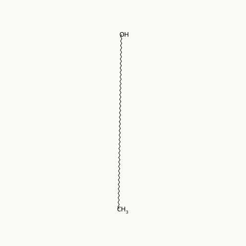 CCCCCCCCCCCCCCCCCCCCCCCCCCCCCCCCCCCCCCCCCCCCCCCCCCCCCCCCCCCCCCCCCCCCCCCCCCCCCCO